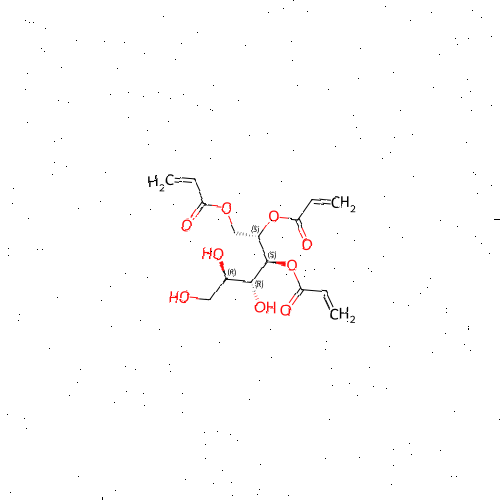 C=CC(=O)OC[C@H](OC(=O)C=C)[C@@H](OC(=O)C=C)[C@H](O)[C@H](O)CO